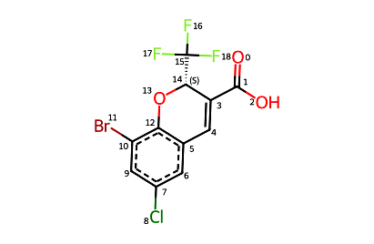 O=C(O)C1=Cc2cc(Cl)cc(Br)c2O[C@@H]1C(F)(F)F